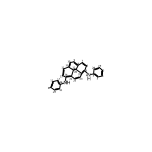 c1ccc(Nc2ccc3ccc4ccc(Nc5ccccc5)c5ccc2c3c45)cc1